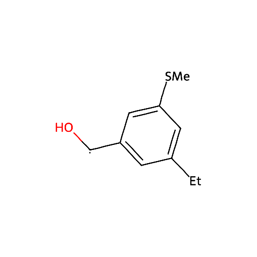 CCc1cc([CH]O)cc(SC)c1